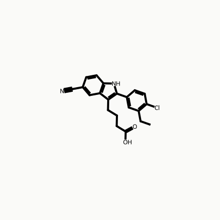 CCc1cc(-c2[nH]c3ccc(C#N)cc3c2CCCC(=O)O)ccc1Cl